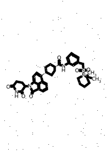 CC1(C)CCCCN1S(=O)(=O)Cc1cccc(NC(=O)[C@H]2CC[C@@H](c3ccc4c5c(cccc53)C(=O)N4C3CCC(=O)NC3=O)CC2)c1